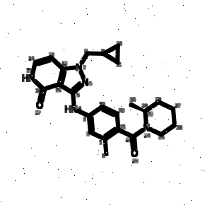 Cc1cc(Nc2nn(CC3CC3)c3cc[nH]c(=O)c23)ccc1C(=O)N1CCCC[C@@H]1C